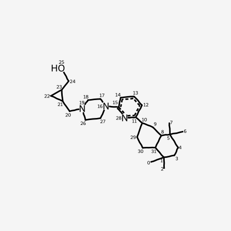 CC1(C)CCC(C)(C)C2CC(c3cccc(N4CCN(CC5CC5CO)CC4)n3)CCC21